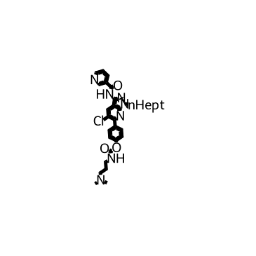 CCCCCCCn1nc(NC(=O)c2cccnc2)c2cc(Cl)c(-c3ccc(OC(=O)NCCCN(C)C)cc3)nc21